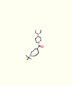 CCN(CC)C1CCN(C(=O)C2CCN(C(C)(C)C)CC2)CC1